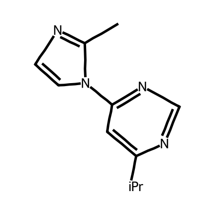 Cc1nccn1-c1cc(C(C)C)ncn1